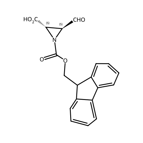 O=C[C@@H]1[C@@H](C(=O)O)N1C(=O)OCC1c2ccccc2-c2ccccc21